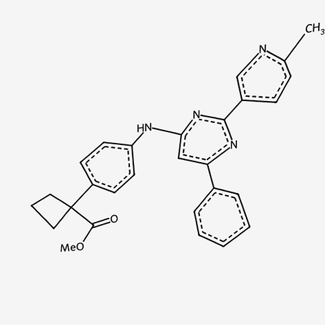 COC(=O)C1(c2ccc(Nc3cc(-c4ccccc4)nc(-c4ccc(C)nc4)n3)cc2)CCC1